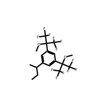 CCC(C)c1cc(C(OC)(C(F)(F)F)C(F)(F)F)cc(C(OC)(C(F)(F)F)C(F)(F)F)c1